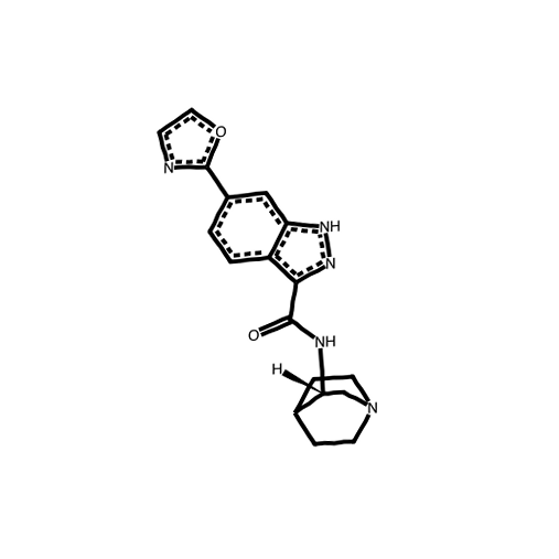 O=C(N[C@@H]1CN2CCC1CC2)c1n[nH]c2cc(-c3ncco3)ccc12